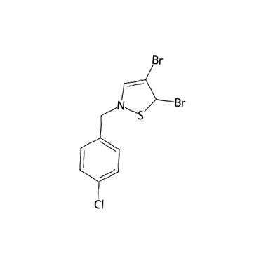 Clc1ccc(CN2C=C(Br)C(Br)S2)cc1